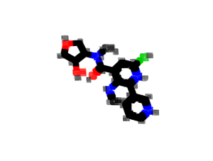 C=Nc1c(C(=O)N(C)C2COCC2O)cc(Cl)nc1-c1cccnc1